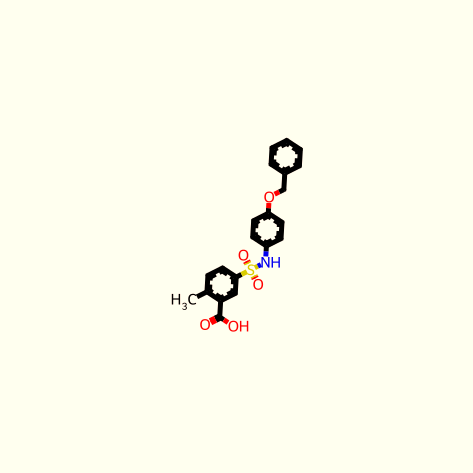 Cc1ccc(S(=O)(=O)Nc2ccc(OCc3ccccc3)cc2)cc1C(=O)O